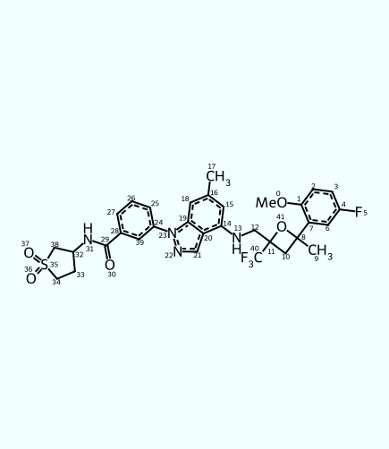 COc1ccc(F)cc1C1(C)CC(CNc2cc(C)cc3c2cnn3-c2cccc(C(=O)NC3CCS(=O)(=O)C3)c2)(C(F)(F)F)O1